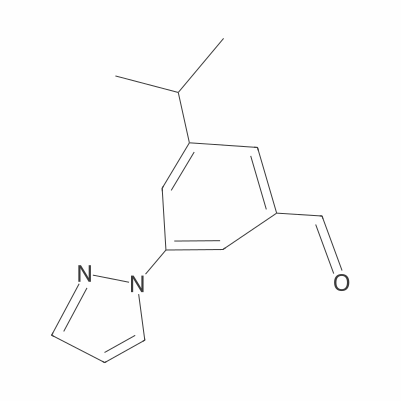 CC(C)c1cc(C=O)cc(-n2cccn2)c1